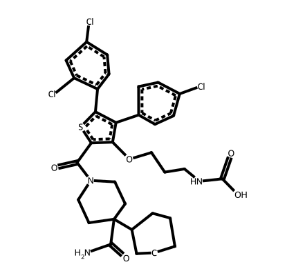 NC(=O)C1(C2CCCCC2)CCN(C(=O)c2sc(-c3ccc(Cl)cc3Cl)c(-c3ccc(Cl)cc3)c2OCCCNC(=O)O)CC1